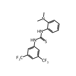 CN(C)c1ccccc1NC(=S)Nc1cc(C(F)(F)F)cc(C(F)(F)F)c1